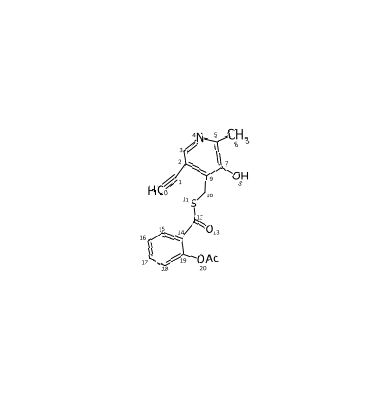 C#Cc1cnc(C)c(O)c1CSC(=O)c1ccccc1OC(C)=O